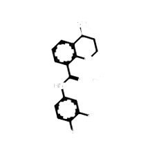 Cl.N[C@H]1CCOc2c(C(=O)Nc3ccc(F)c(F)c3)cccc21